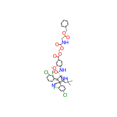 COc1cc(C(=O)OCOC(=O)NCC(=O)OCc2ccccc2)ccc1NC(=O)[C@@H]1N[C@@H](CC(C)(C)C)[C@](C#N)(c2ccc(Cl)cc2F)[C@H]1c1cccc(Cl)c1F